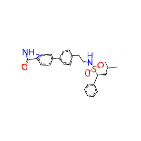 CC(C)C[C@@H](c1ccccc1)S(=O)(=O)NCCc1ccc(-c2ccc(C(N)=O)cc2)cc1